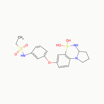 CCS(=O)(=O)Nc1cccc(Oc2ccc3c(c2)S(O)(O)NC2CCCN32)c1